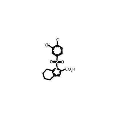 O=C(O)c1cc2c(n1S(=O)(=O)c1ccc(Cl)c(Cl)c1)CCCC2